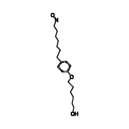 O=NCCCCCCCc1ccc(OCCCCCCO)cc1